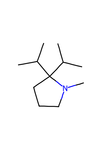 CC(C)C1(C(C)C)CCCN1C